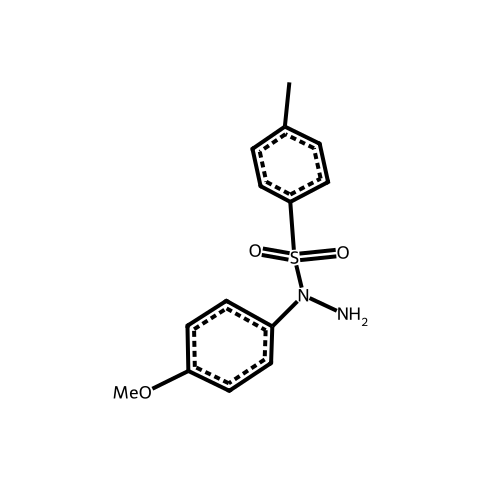 COc1ccc(N(N)S(=O)(=O)c2ccc(C)cc2)cc1